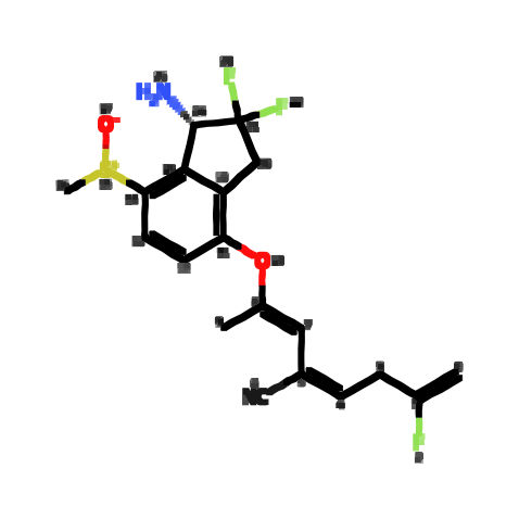 C=C(F)C/C=C(C#N)\C=C(/C)Oc1ccc([S+](C)[O-])c2c1CC(F)(F)[C@H]2N